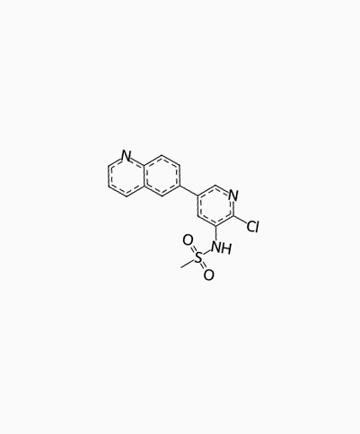 CS(=O)(=O)Nc1cc(-c2ccc3ncccc3c2)cnc1Cl